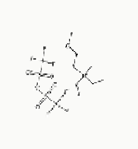 CC[N+](C)(CC)CCOC.O=S(=O)([N-]S(=O)(=O)C(F)(F)F)C(F)(F)F